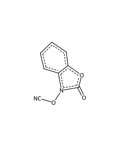 N#COn1c(=O)oc2ccccc21